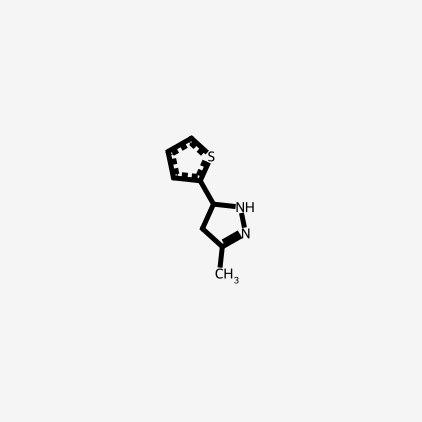 CC1=NNC(c2cccs2)C1